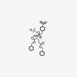 CCOP(=O)(Cc1ccc([N+](=O)[O-])cc1)N[C@@H](CCC(=O)OCc1ccccc1)C(=O)OCc1ccccc1